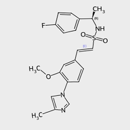 COc1cc(/C=C/S(=O)(=O)N[C@H](C)c2ccc(F)cc2)ccc1-n1cnc(C)c1